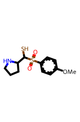 COc1ccc(S(=O)(=O)C(S)C2CCCN2)cc1